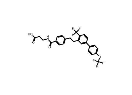 O=C(O)CCNC(=O)c1ccc(CCc2cc(-c3ccc(OC(F)(F)F)cc3)ccc2C(F)(F)F)cc1